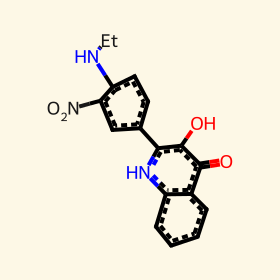 CCNc1ccc(-c2[nH]c3ccccc3c(=O)c2O)cc1[N+](=O)[O-]